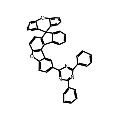 c1ccc(-c2nc(-c3ccccc3)nc(-c3ccc4oc5ccc6c(c5c4c3)-c3ccccc3C63c4ccccc4Oc4ccccc43)n2)cc1